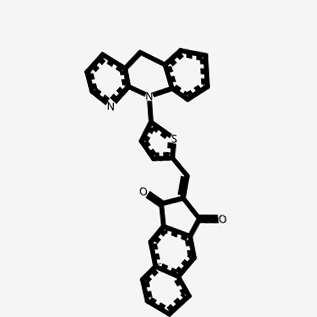 O=C1C(=Cc2ccc(N3c4ccccc4Cc4cccnc43)s2)C(=O)c2cc3ccccc3cc21